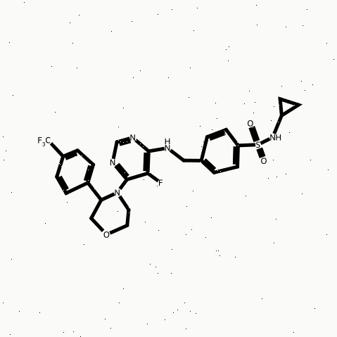 O=S(=O)(NC1CC1)c1ccc(CNc2ncnc(N3CCOCC3c3ccc(C(F)(F)F)cc3)c2F)cc1